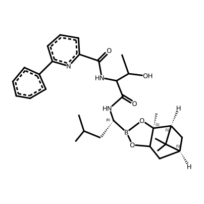 CC(C)C[C@H](NC(=O)C(NC(=O)c1cccc(-c2ccccc2)n1)C(C)O)B1OC2C[C@@H]3C[C@@H](C3(C)C)[C@]2(C)O1